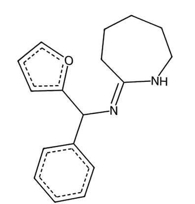 c1ccc(C(N=C2CCCCCN2)c2ccco2)cc1